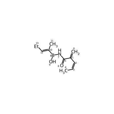 C=C(/C=C\C)C(=O)NB(O)/C(C)=C/CC